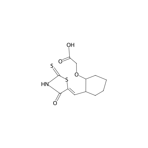 O=C(O)COC1CCCCC1/C=C1\SC(=S)NC1=O